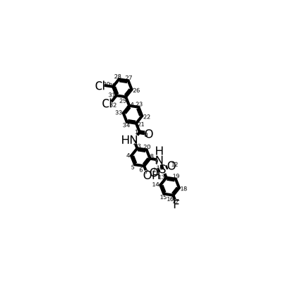 O=C(Nc1ccc(O)c(NS(=O)(=O)c2ccc(F)cc2)c1)c1ccc(-c2cccc(Cl)c2Cl)cc1